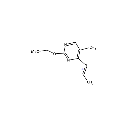 C/C=N/c1nc(OCOC)ncc1C